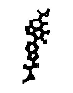 CO[C@@H](C)[C@@H](C)N(C)c1c(F)c(Cl)c(-c2cn3cc(NC(=O)C4CC4F)nc3cn2)c2cn[nH]c12